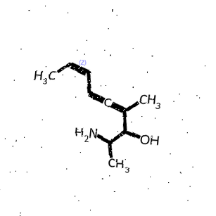 C/C=C\C=C=C(C)C(O)C(C)N